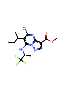 CCC(C)c1c(Cl)nc2c(C(=O)OC)cnn2c1N[C@@H](C)C(F)(F)F